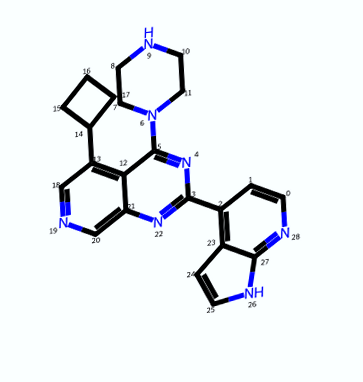 c1cc(-c2nc(N3CCNCC3)c3c(C4CCC4)cncc3n2)c2cc[nH]c2n1